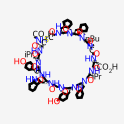 CCCC[C@H]1C(=O)N(C)CC(=O)N[C@@H](CC(=O)O)C(=O)N[C@@H](C(C)C)C(=O)N(C)[C@@H](Cc2ccccc2)C(=O)N[C@@H](Cc2ccc(O)cc2)C(=O)N(C)CC(=O)N[C@@H](Cc2c[nH]c3ccccc23)C(=O)N[C@@H](Cc2ccc(O)cc2)C(=O)N[C@@H](CC(C)C)C(=O)N[C@H](C(=O)NCC(=O)O)CSCC(=O)N[C@@H](Cc2ccccc2)C(=O)N(C)[C@@H](Cc2ccccc2)C(=O)N1C